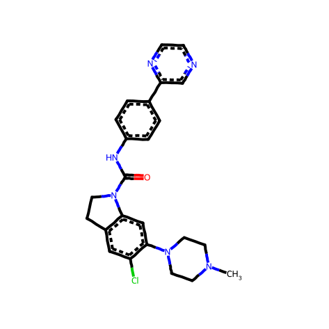 CN1CCN(c2cc3c(cc2Cl)CCN3C(=O)Nc2ccc(-c3cnccn3)cc2)CC1